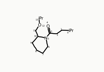 CC(C)CCC(=O)N1CCCCC1COC(C)C